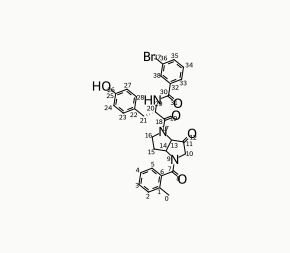 Cc1ccccc1C(=O)N1CC(=O)C2C1CCN2C(=O)[C@H](Cc1ccc(O)cc1)NC(=O)c1cccc(Br)c1